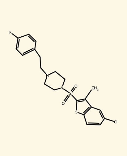 Cc1c(S(=O)(=O)N2CCN(CCc3ccc(F)cc3)CC2)sc2ccc(Cl)cc12